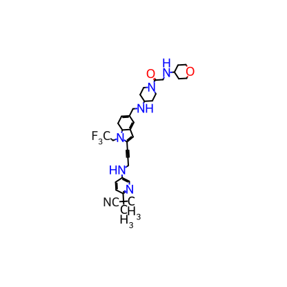 CC(C)(C#N)c1ccc(NCC#CC2=CC3=CC(CNC4CCN(C(=O)CNC5CCOCC5)CC4)=CCC3N2CC(F)(F)F)cn1